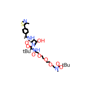 Cc1ncsc1-c1ccc([C@H](C)NC(=O)[C@@H]2C[C@@H](O)CN2C(=O)[C@@H](NC(=O)COCCOCCOCCN(C)C(=O)OC(C)(C)C)C(C)(C)C)cc1